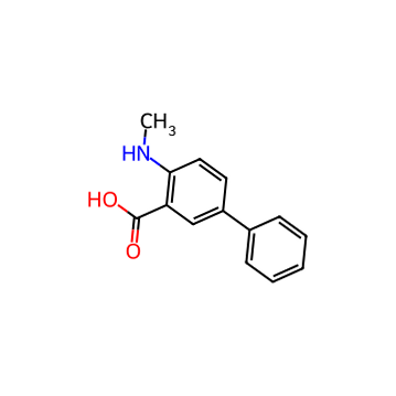 CNc1ccc(-c2ccccc2)cc1C(=O)O